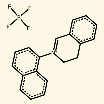 C1=[N+](c2cccc3ccccc23)CCc2ccccc21.F[B-](F)(F)F